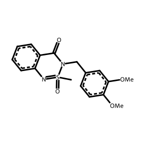 COc1ccc(CN2C(=O)c3ccccc3N=S2(C)=O)cc1OC